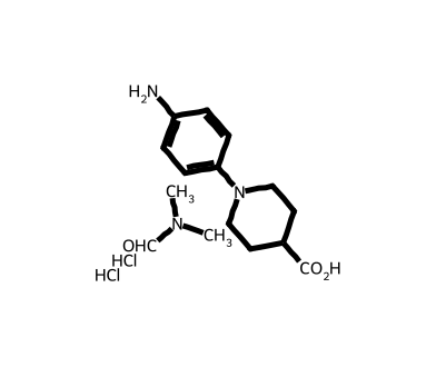 CN(C)C=O.Cl.Cl.Nc1ccc(N2CCC(C(=O)O)CC2)cc1